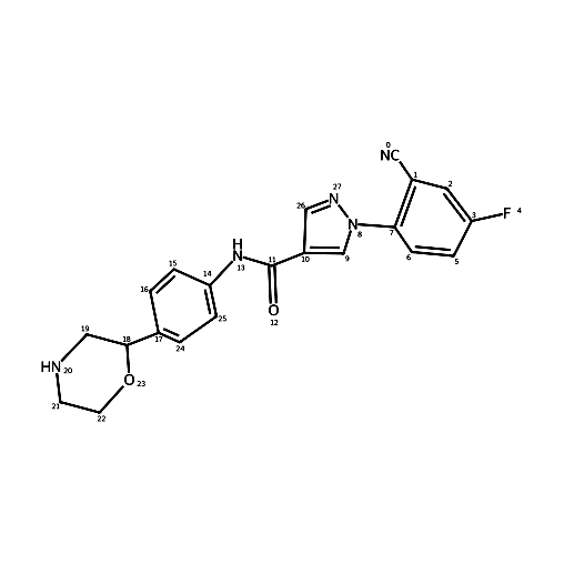 N#Cc1cc(F)ccc1-n1cc(C(=O)Nc2ccc(C3CNCCO3)cc2)cn1